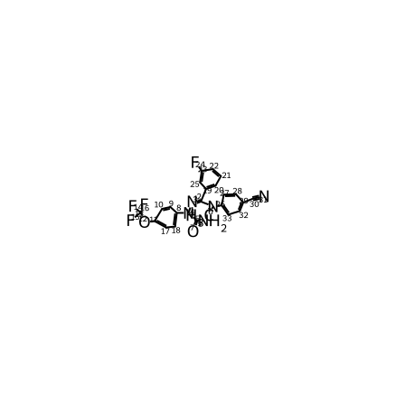 CN(C(=NN(C(N)=O)c1ccc(OC(F)(F)F)cc1)c1cccc(F)c1)c1ccc(C#N)cc1